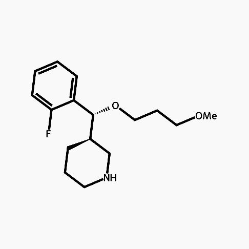 COCCCO[C@@H](c1ccccc1F)[C@@H]1CCCNC1